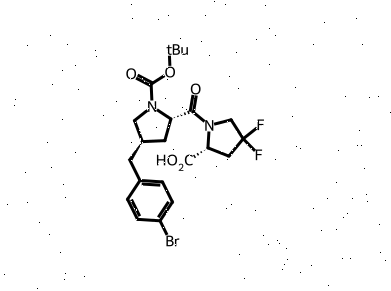 CC(C)(C)OC(=O)N1C[C@H](Cc2ccc(Br)cc2)C[C@H]1C(=O)N1CC(F)(F)C[C@@H]1C(=O)O